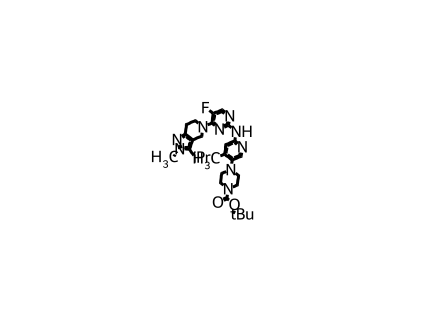 Cc1cc(Nc2ncc(F)c(N3CCc4nn(C)c(C(C)C)c4C3)n2)ncc1N1CCN(C(=O)OC(C)(C)C)CC1